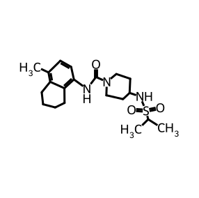 Cc1ccc(NC(=O)N2CCC(NS(=O)(=O)C(C)C)CC2)c2c1CCCC2